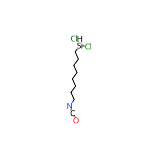 O=C=NCCCCCCCC[SiH](Cl)Cl